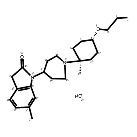 CCCO[C@H]1CC[C@](C)(N2CCC(N3C(=O)Cc4ccc(C)cc43)CC2)CC1.Cl